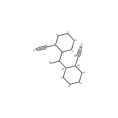 CC(C1CCCCC1C#N)C1CCCCC1C#N